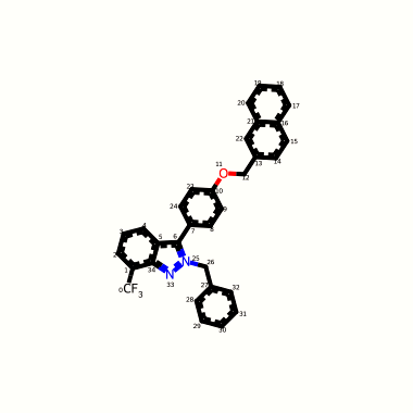 FC(F)(F)c1cccc2c(-c3ccc(OCc4ccc5ccccc5c4)cc3)n(Cc3ccccc3)nc12